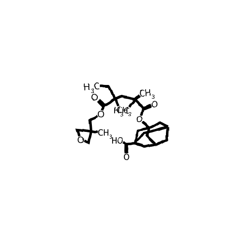 CCC(C)(CC(C)(C)C(=O)OC12CC3CC(C1)CC(C(=O)O)(C3)C2)C(=O)OCC1(C)COC1